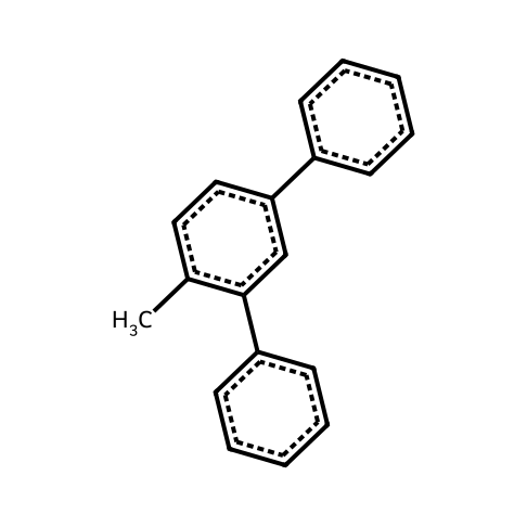 Cc1ccc(-c2ccccc2)cc1-c1ccccc1